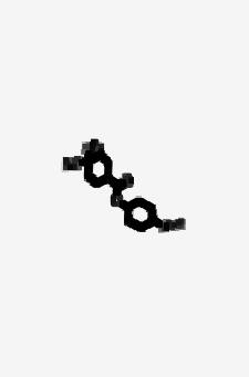 CCCCCC1CCC(OC(=O)C2CCC(C#N)(CCCC)CC2)CC1